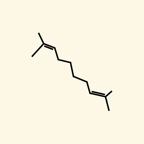 CC(C)=CCCCCC=C(C)C